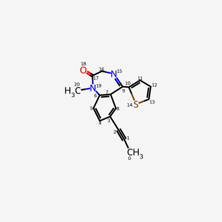 CC#Cc1ccc2c(c1)C(c1cccs1)=NCC(=O)N2C